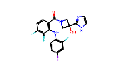 O=C(c1ccc(F)c(F)c1Nc1ccc(I)cc1F)N1CC(O)(c2ncc[nH]2)C1